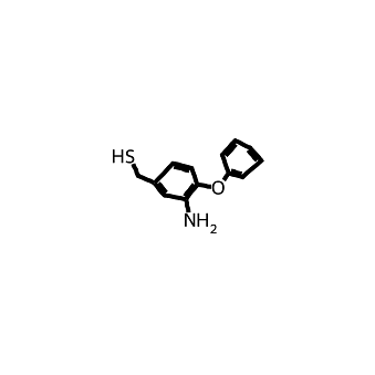 Nc1cc(CS)ccc1Oc1ccccc1